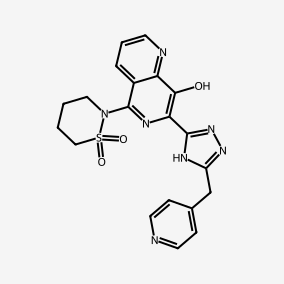 O=S1(=O)CCCCN1c1nc(-c2nnc(Cc3ccncc3)[nH]2)c(O)c2ncccc12